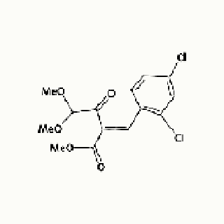 COC(=O)C(=Cc1ccc(Cl)cc1Cl)C(=O)C(OC)OC